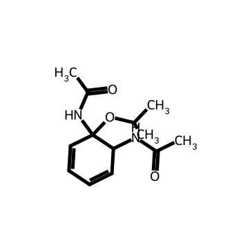 CC(=O)NC1C=CC=CC1(NC(C)=O)OC(C)C